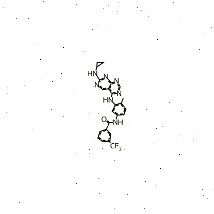 Cc1ccc(NC(=O)c2cccc(C(F)(F)F)c2)cc1Nc1ncnc2nc(NC3CC3)ncc12